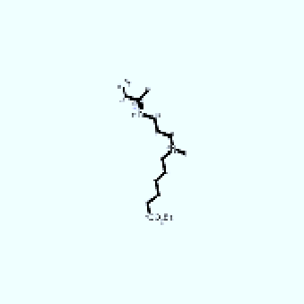 CCOC(=O)CCCCCN(C)CCC/N=C(\C)CC(C)C